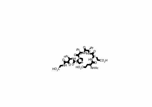 CCCC(NC(=O)[C@@H]1CSCN1C(=O)[C@@H](NC(=O)[C@@H](NC(=O)[C@H](CCC(=O)O)NC(=O)[C@H](CCC(=O)O)NC(C)=O)C(C)C)C(C)C)C(=O)C(=O)NCC(=O)O